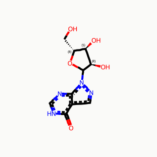 O=c1[nH]cnc2c1cnn2C1O[C@H](CO)[C@@H](O)[C@H]1O